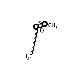 CCCCCCCCCCCCc1cccc2sc3ccc(C)cc3c(=O)c12